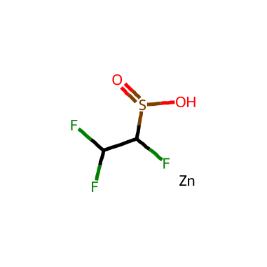 O=S(O)C(F)C(F)F.[Zn]